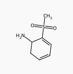 CS(=O)(=O)C1=CC=CCC1N